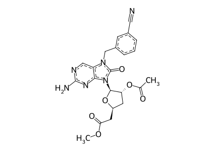 COC(=O)C[C@@H]1C[C@@H](OC(C)=O)[C@H](n2c(=O)n(Cc3cccc(C#N)c3)c3cnc(N)nc32)O1